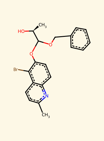 Cc1ccc2c(Br)c(OC(OCc3ccccc3)[C@H](C)O)ccc2n1